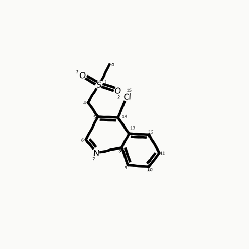 CS(=O)(=O)Cc1cnc2ccccc2c1Cl